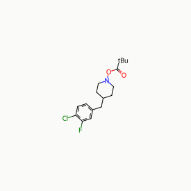 CC(C)(C)C(=O)ON1CCC(Cc2ccc(Cl)c(F)c2)CC1